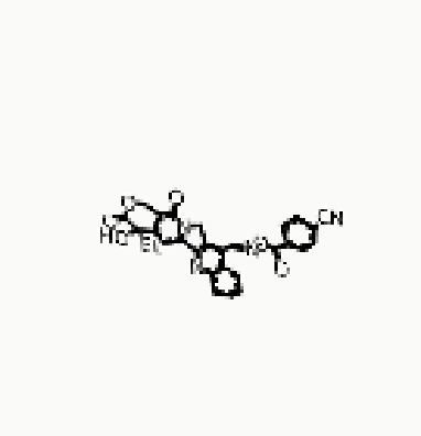 CC[C@@]1(O)C(=O)OCc2c1cc1n(c2=O)Cc2c-1nc1ccccc1c2C=NOC(=O)c1ccc(C#N)cc1